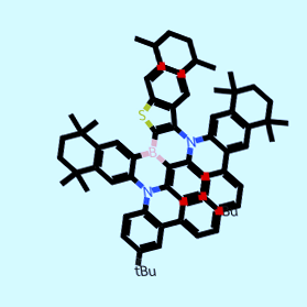 CC(C)(C)c1ccc(N2c3cc4c(cc3B3c5sc6cc7c(cc6c5N(c5cc6c(cc5-c5ccccc5)C(C)(C)CCC6(C)C)c5cc(C(C)(C)C)cc2c53)C2(C)CCC7(C)CC2)C(C)(C)CCC4(C)C)c(-c2ccccc2)c1